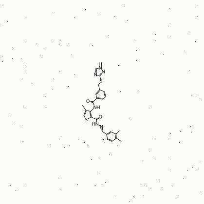 Cc1ccc(C=NNC(=O)c2scc(C)c2NC(=O)c2cccc(CSc3nc[nH]n3)c2)cc1C